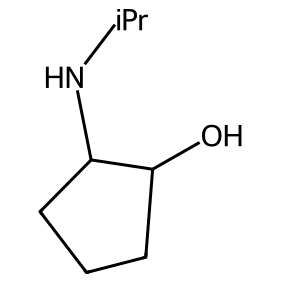 CC(C)NC1CCCC1O